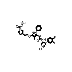 CCN1C[C@@H](NC(=O)Nc2c(C)c(OCCC3CCN(C(=O)OC(C)(C)C)C3)nn2-c2ccccc2)[C@H](c2ccc(F)c(F)c2)O1